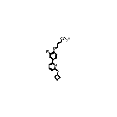 O=C(O)CCCSc1ccc(-c2cccc(SC3CCC3)n2)cc1F